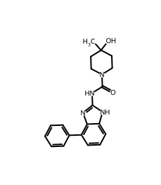 CC1(O)CCN(C(=O)Nc2nc3c(-c4ccccc4)cccc3[nH]2)CC1